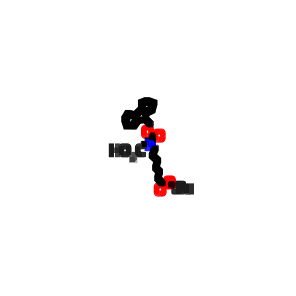 CC(C)(C)OC(=O)CCCCCCN(CC(=O)O)C(=O)OCC1c2ccccc2-c2ccccc21